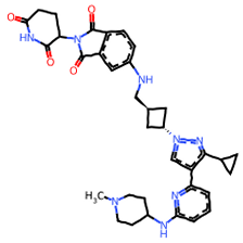 CN1CCC(Nc2cccc(-c3cn([C@H]4C[C@H](CNc5ccc6c(c5)C(=O)N(C5CCC(=O)NC5=O)C6=O)C4)nc3C3CC3)n2)CC1